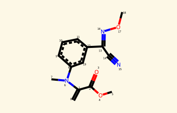 C=C(C(=O)OC)N(C)c1cccc(C(C#N)=NOC)c1